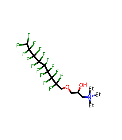 CC[N+](CC)(CC)CC(O)COCC(F)(F)C(F)(F)C(F)(F)C(F)(F)C(F)(F)C(F)(F)C(F)(F)C(F)F